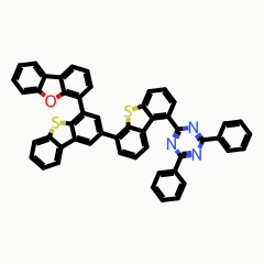 c1ccc(-c2nc(-c3ccccc3)nc(-c3cccc4sc5c(-c6cc(-c7cccc8c7oc7ccccc78)c7sc8ccccc8c7c6)cccc5c34)n2)cc1